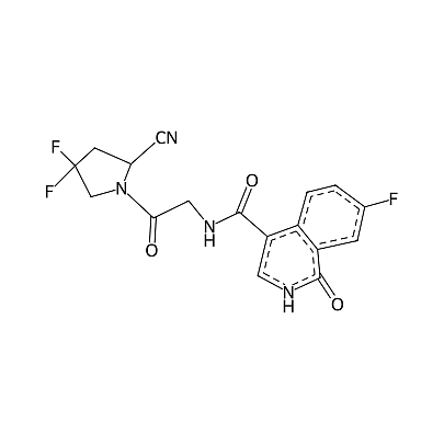 N#CC1CC(F)(F)CN1C(=O)CNC(=O)c1c[nH]c(=O)c2cc(F)ccc12